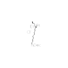 C=CC[N+](CC)(CC)CCCCCCCCCCCCCCCCCCCC.[Cl-]